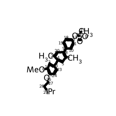 COc1cc(-c2cc(C)c(-c3ccc(OS(C)(=O)=O)cc3)cc2C)ccc1OCCC(C)C